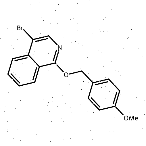 COc1ccc(COc2ncc(Br)c3ccccc23)cc1